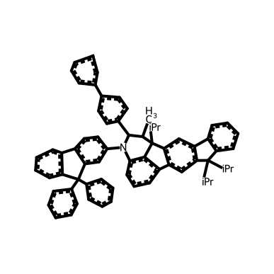 CC(C)C1(C(C)C)c2ccccc2-c2cc3c(cc21)-c1cccc2c1C3(C(C)C)C(C)C(c1ccc(-c3ccccc3)cc1)N2c1ccc2c(c1)C(c1ccccc1)(c1ccccc1)c1ccccc1-2